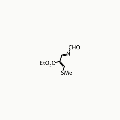 CCOC(=O)/C(C=NC=O)=C\SC